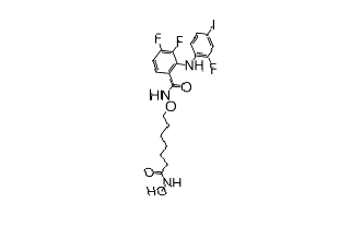 O=C(CCCCCCONC(=O)c1ccc(F)c(F)c1Nc1ccc(I)cc1F)NO